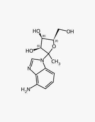 CC1(n2cnc3c(N)cccc32)O[C@H](CO)[C@H](O)[C@@H]1O